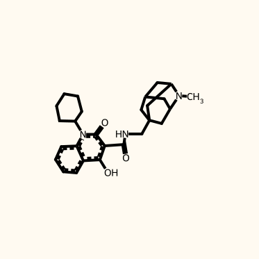 CN1C2CC3CC1CC(CNC(=O)c1c(O)c4ccccc4n(C4CCCCC4)c1=O)(C3)C2